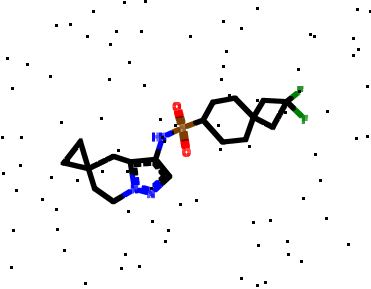 O=S(=O)(Nc1cnn2c1CC1(CC2)CC1)C1CCC2(CC1)CC(F)(F)C2